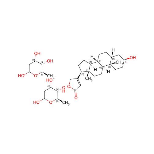 C[C@H]1OC(O)C[C@H](O)[C@@H]1O.C[C@H]1OC(O)C[C@H](O)[C@@H]1O.C[C@]12CC[C@H](O)C[C@H]1CC[C@@H]1[C@@H]2CC[C@]2(C)[C@@H](C3=CC(=O)OC3)CC[C@@H]12